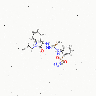 C=CCN1C(=O)C(=NNC(=S)Nc2ccccc2S(N)(=O)=O)c2ccccc21